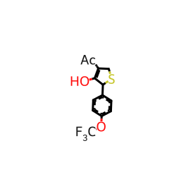 CC(=O)C1=C(O)C(c2ccc(OC(F)(F)F)cc2)SC1